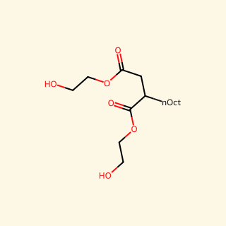 CCCCCCCCC(CC(=O)OCCO)C(=O)OCCO